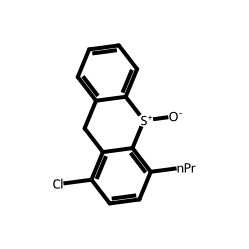 CCCc1ccc(Cl)c2c1[S+]([O-])c1ccccc1C2